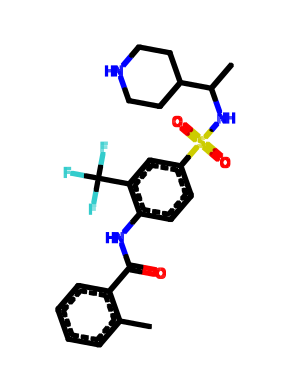 Cc1ccccc1C(=O)Nc1ccc(S(=O)(=O)NC(C)C2CCNCC2)cc1C(F)(F)F